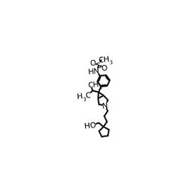 CC(C)C1(c2cccc(NS(C)(=O)=O)c2)C2CN(CCCC3(CO)CCCC3)CC21